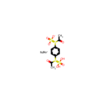 CC(=O)S(c1ccc(S(C(C)=O)=S(=O)(O)O)cc1)=S(=O)([O-])[O-].[Na+].[Na+]